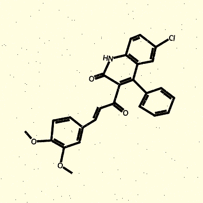 COc1ccc(C=CC(=O)c2c(-c3ccccc3)c3cc(Cl)ccc3[nH]c2=O)cc1OC